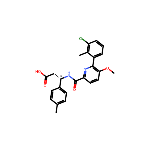 COc1ccc(C(=O)N[C@@H](CC(=O)O)c2ccc(C)cc2)nc1-c1cccc(Cl)c1C